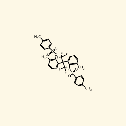 Cc1ccc(S(=O)(=O)Oc2c(C)cccc2C(c2cccc(C)c2OS(=O)(=O)c2ccc(C)cc2)(C(F)(F)F)C(F)(F)F)cc1